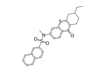 CCC1CCc2c(sc3cc(N(C)S(=O)(=O)c4ccc5ccccc5c4)ccc3c2=O)C1